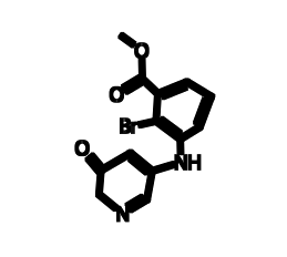 COC(=O)c1cccc(NC2=CC(=O)CN=C2)c1Br